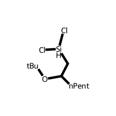 CCCCCC(C[SiH](Cl)Cl)OC(C)(C)C